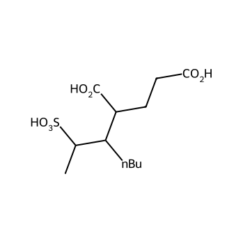 CCCCC(C(CCC(=O)O)C(=O)O)C(C)S(=O)(=O)O